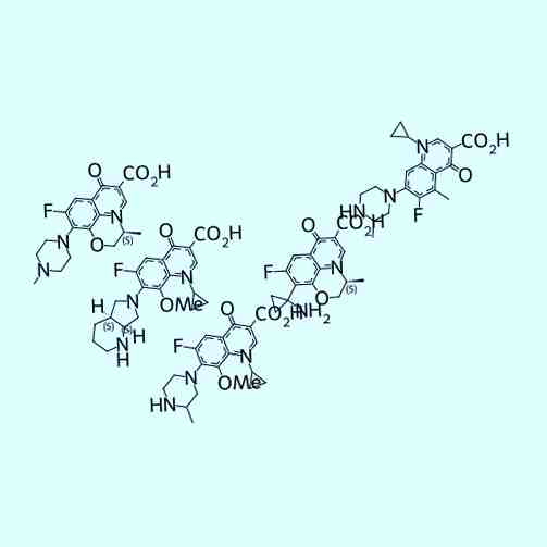 COc1c(N2CCNC(C)C2)c(F)cc2c(=O)c(C(=O)O)cn(C3CC3)c12.COc1c(N2C[C@@H]3CCCN[C@@H]3C2)c(F)cc2c(=O)c(C(=O)O)cn(C3CC3)c12.C[C@H]1COc2c(C3(N)CC3)c(F)cc3c(=O)c(C(=O)O)cn1c23.C[C@H]1COc2c(N3CCN(C)CC3)c(F)cc3c(=O)c(C(=O)O)cn1c23.Cc1c(F)c(N2CCNC(C)C2)cc2c1c(=O)c(C(=O)O)cn2C1CC1